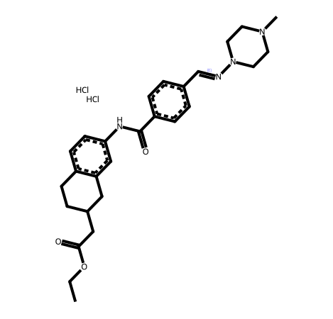 CCOC(=O)CC1CCc2ccc(NC(=O)c3ccc(/C=N/N4CCN(C)CC4)cc3)cc2C1.Cl.Cl